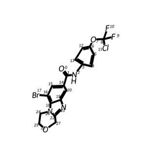 O=C(Nc1ccc(OC(F)(F)Cl)cc1)c1cc(Br)c2c(c1)nc1n2CCOC1